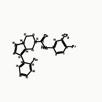 O=C(Nc1ccc(F)c(C(F)(F)F)c1)N1CCn2ncc(-c3ccccc3F)c2C1